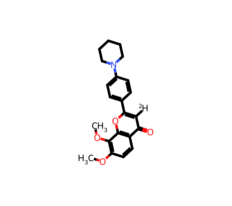 [2H]c1c(-c2ccc(N3CCCCC3)cc2)oc2c(OC)c(OC)ccc2c1=O